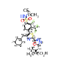 C[C@H](NS(=O)(=O)c1ccc(-c2sc(-c3nnc(CC(C)(C)C(=O)O)o3)nc2CC2CCCCC2)c(C(F)F)c1F)C(F)(F)F